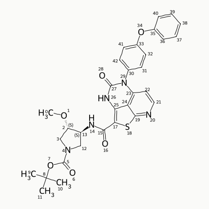 CO[C@H]1CN(C(=O)OC(C)(C)C)C[C@@H]1NC(=O)c1sc2nccc3c2c1NC(=O)N3c1ccc(Oc2ccccc2)cc1